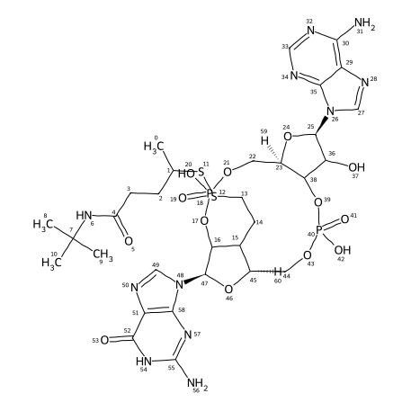 CC(CCC(=O)NC(C)(C)C)SSCCC1C2OP(=O)(O)OC[C@H]3O[C@@H](n4cnc5c(N)ncnc54)C(O)C3OP(=O)(O)OC[C@H]1O[C@H]2n1cnc2c(=O)[nH]c(N)nc21